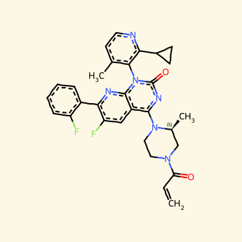 C=CC(=O)N1CCN(c2nc(=O)n(-c3c(C)ccnc3C3CC3)c3nc(-c4ccccc4F)c(F)cc23)[C@@H](C)C1